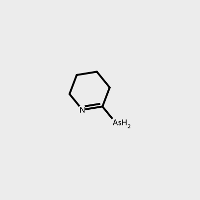 [AsH2]C1=NCCCC1